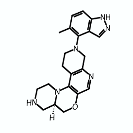 Cc1ccc2[nH]ncc2c1N1CCc2c(ncc3c2N2CCNC[C@@H]2CO3)C1